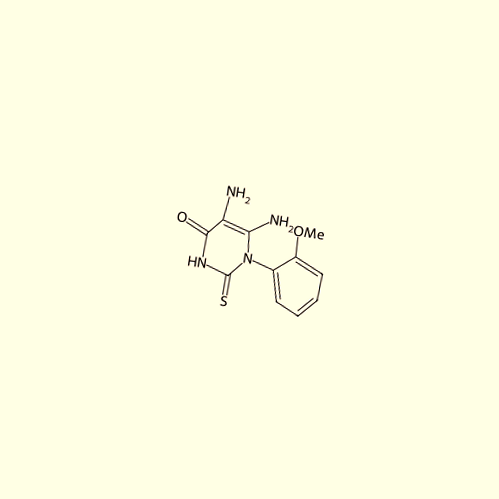 COc1ccccc1-n1c(N)c(N)c(=O)[nH]c1=S